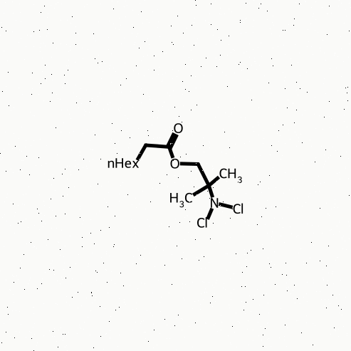 CCCCCCCC(=O)OCC(C)(C)N(Cl)Cl